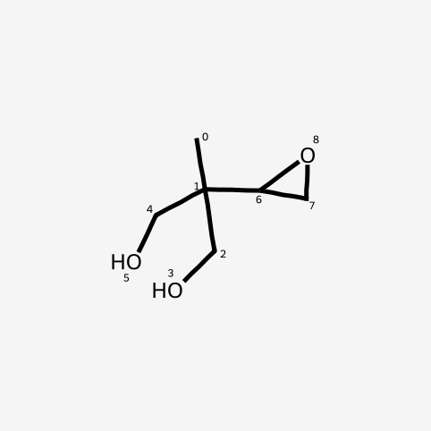 CC(CO)(CO)C1CO1